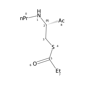 CCCN[C@@H](CSC(=O)CC)C(C)=O